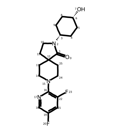 O=C1N([C@H]2CC[C@@H](O)CC2)CCC12CCN(c1ncc(F)cc1F)CC2